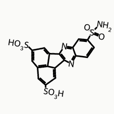 NS(=O)(=O)c1ccc2nc3c(nc2c1)-c1cc(S(=O)(=O)O)cc2cc(S(=O)(=O)O)cc-3c12